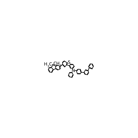 CC1(C)c2ccccc2-c2ccc(-c3ccc4sc5ccc(N(c6ccccc6)c6ccc(-c7cccc(-c8ccccc8)c7)cc6)cc5c4c3)cc21